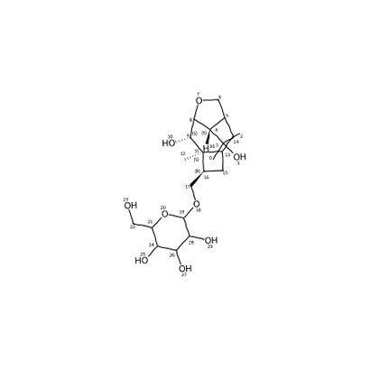 CC(C)(O)[C@H]1C2COC1[C@@H](O)[C@@]1(C)C(C2)C[C@H]1COC1OC(CO)C(O)C(O)C1O